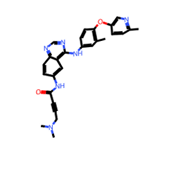 Cc1ccc(Oc2ccc(Nc3ncnc4ccc(NC(=O)C#CCN(C)C)cc34)cc2C)cn1